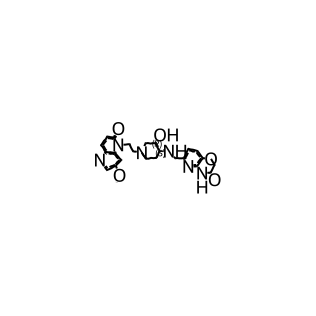 COc1cnc2ccc(=O)n(CCN3CC[C@H](NCc4ccc5c(n4)NC(=O)CO5)[C@H](O)C3)c2c1